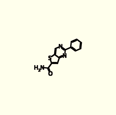 NC(=O)c1cc2nc(-c3ccccc3)ncc2s1